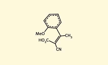 COc1ccccc1C(C)=C(C#N)C(=O)O